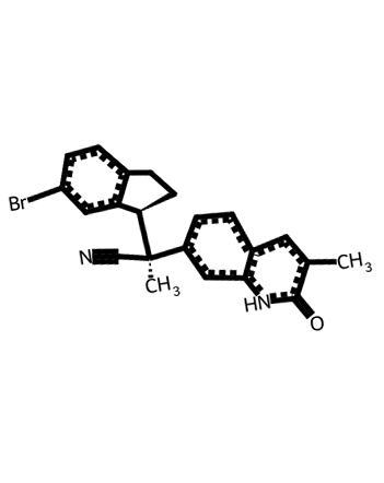 Cc1cc2ccc([C@@](C)(C#N)[C@@H]3CCc4ccc(Br)cc43)cc2[nH]c1=O